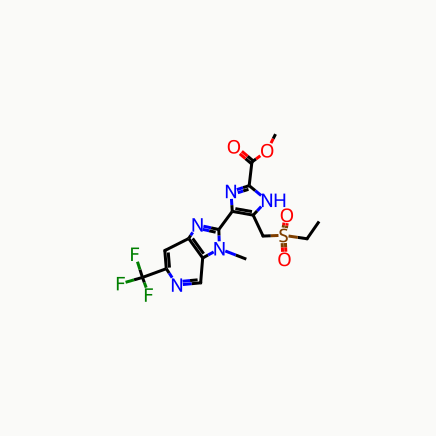 CCS(=O)(=O)Cc1[nH]c(C(=O)OC)nc1-c1nc2cc(C(F)(F)F)ncc2n1C